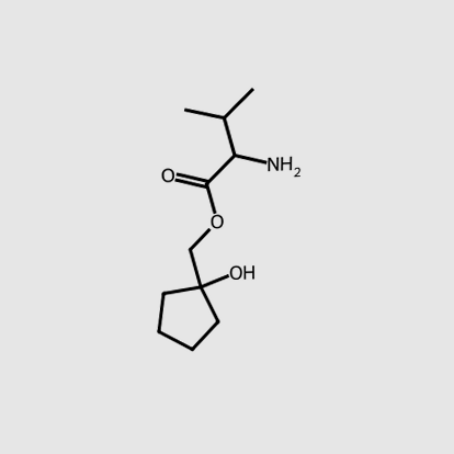 CC(C)C(N)C(=O)OCC1(O)CCCC1